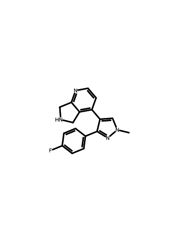 Cn1cc(-c2ccnc3c2CNC3)c(-c2ccc(F)cc2)n1